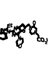 CCc1nc2ccccc2n1-c1nc(N2CCOCC2)c2sc(CN3CCN(CC(=O)O)CC3=O)cc2n1